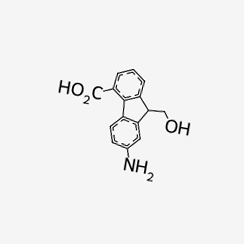 Nc1ccc2c(c1)C(CO)c1cccc(C(=O)O)c1-2